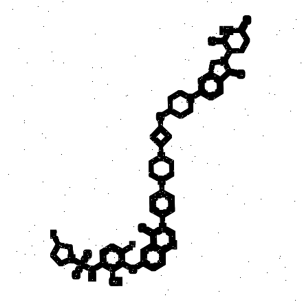 N#Cc1c(NS(=O)(=O)N2CC[C@@H](F)C2)ccc(F)c1Oc1ccc2ncn(-c3ccc(N4CCN([C@H]5C[C@H](OC6CCN(c7ccc8c(c7)CN(C7CCC(=O)NC7=O)C8=O)CC6)C5)CC4)cc3)c(=O)c2c1